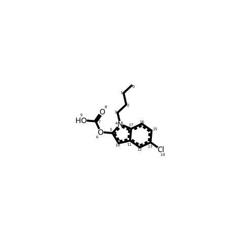 CCCCn1c(OC(=O)O)cc2cc(Cl)ccc21